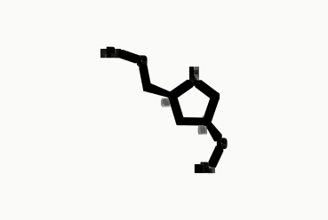 CCCCOC[C@@H]1C[C@H](OCCCC)CN1